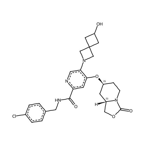 O=C(NCc1ccc(Cl)cc1)c1cc(O[C@H]2CCN3C(=O)OC[C@@H]3C2)c(N2CC3(CC(O)C3)C2)cn1